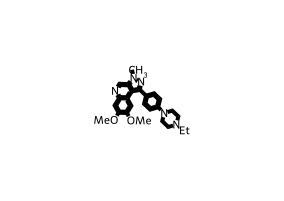 CCN1CCN(c2ccc(-c3nn(C)c4cnc5cc(OC)c(OC)cc5c34)cc2)CC1